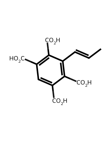 CC=Cc1c(C(=O)O)c(C(=O)O)cc(C(=O)O)c1C(=O)O